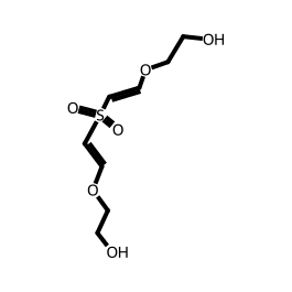 O=S(=O)(C=COCCO)C=COCCO